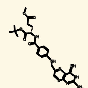 COC(=O)CC[C@H](NC(=O)c1ccc(NCc2cnc3nc(N)[nH]c(=N)c3n2)cc1)C(=O)OC(C)(C)C